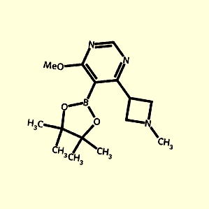 COc1ncnc(C2CN(C)C2)c1B1OC(C)(C)C(C)(C)O1